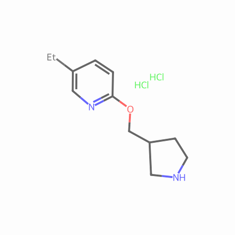 CCc1ccc(OCC2CCNC2)nc1.Cl.Cl